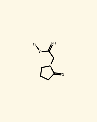 CCOC(=N)CN1CCCC1=O